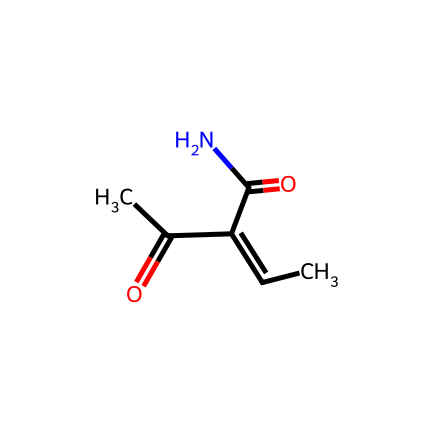 CC=C(C(C)=O)C(N)=O